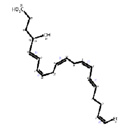 CC/C=C\CC/C=C/C=C\C/C=C\C/C=C\C=C\[C@H](O)CCC(=O)O